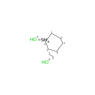 C1CCCCC1.CC.Cl.Cl.[SiH4]